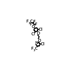 FC(Oc1cc(Cl)c(OCCCOc2ncc(C(F)(F)F)cc2Cl)c(Cl)c1)C(F)(F)C(F)(F)F